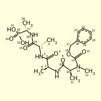 C[C@H](NC(=O)[C@H](C)NC(=O)[C@H](C)N(C)C(=O)OCc1ccccc1)C(=O)N[C@@H](C)P(=O)(O)O